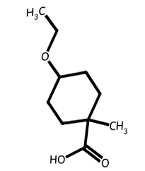 CCOC1CCC(C)(C(=O)O)CC1